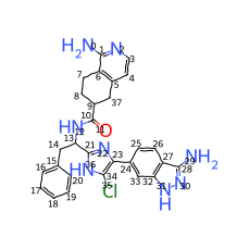 Nc1nccc2c1CCC(C(=O)NC(Cc1ccccc1)c1nc(-c3ccc4c(N)n[nH]c4c3)c(Cl)[nH]1)C2